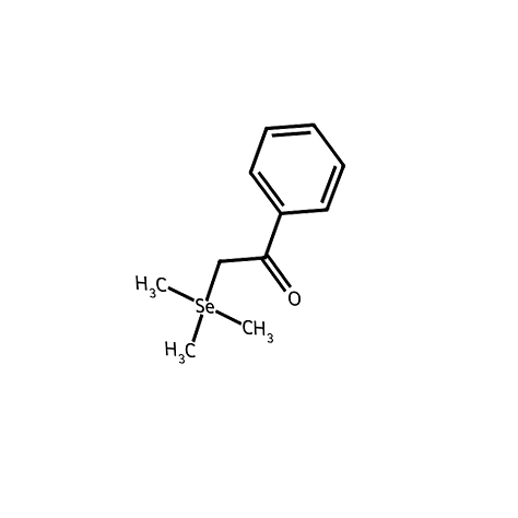 C[Se](C)(C)CC(=O)c1ccccc1